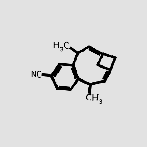 CC1C=C2CC(=CC(C)c3cc(C#N)ccc31)C2